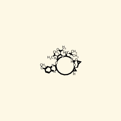 COc1ccc2nc3c(nc2c1)O[C@H]1CN(C(=O)[C@H](C(C)(C)C)NC(=O)O[C@]2(CC4CC4)C[C@H]2CCCCC3)[C@H](C(C)=O)[C@@H]1C(C)C